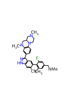 CNCc1cc(C)c(-c2cc3c(-c4ccc5c(c4)N(C)CC4CN(C)CCN54)n[nH]c3cc2C#N)c(F)c1